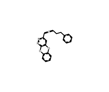 C(=CCCc1ccccc1)=Cc1cc2c(nn1)Oc1ccccc1O2